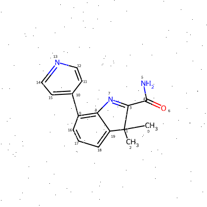 CC1(C)C(C(N)=O)=Nc2c(-c3ccncc3)cccc21